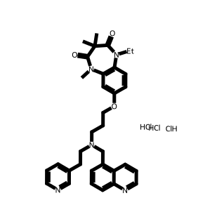 CCN1C(=O)C(C)(C)C(=O)N(C)c2cc(OCCCN(CCc3cccnc3)Cc3cccc4ncccc34)ccc21.Cl.Cl.Cl